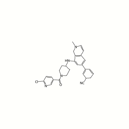 CN1C=Cc2cc(C3=CC(C#N)CC=C3)cc(NC3CCN(C(=O)c4ccc(Cl)nc4)CC3)c2C1